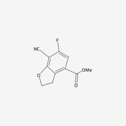 COC(=O)c1cc(F)c(C#N)c2c1CCO2